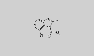 COC(=O)n1c(C)cc2cccc(Cl)c21